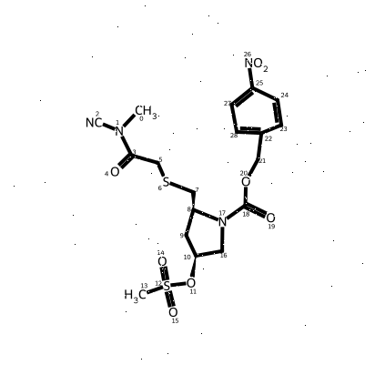 CN(C#N)C(=O)CSC[C@@H]1C[C@H](OS(C)(=O)=O)CN1C(=O)OCc1ccc([N+](=O)[O-])cc1